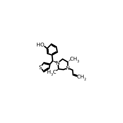 C=CCN1C[C@@H](C)N([C@@H](c2ccsc2)c2cccc(O)c2)C[C@@H]1C